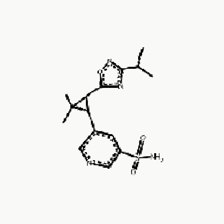 CC(C)c1noc(C2C(c3cncc(S(N)(=O)=O)c3)C2(C)C)n1